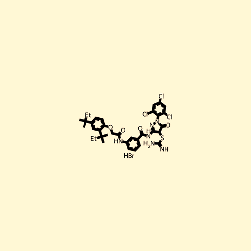 Br.CCC(C)(C)c1ccc(OCC(=O)Nc2cccc(C(=O)NC3=NN(c4c(Cl)cc(Cl)cc4Cl)C(=O)C3SC(=N)N)c2)c(C(C)(C)CC)c1